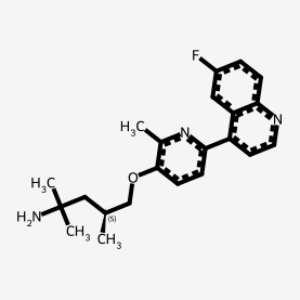 Cc1nc(-c2ccnc3ccc(F)cc23)ccc1OC[C@@H](C)CC(C)(C)N